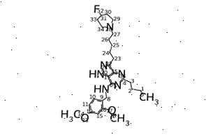 CCCCc1nc(NCc2ccc(OC)cc2OC)c2[nH]nc(CCCCCN3CCC(F)CC3)c2n1